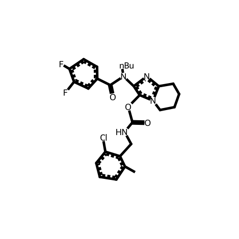 CCCCN(C(=O)c1ccc(F)c(F)c1)c1nc2n(c1OC(=O)NCc1c(C)cccc1Cl)CCCC2